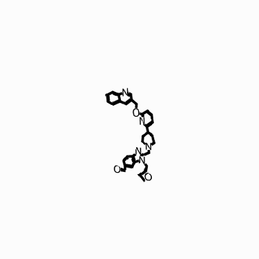 O=Cc1ccc2nc(CN3CCC(c4cccc(OCc5cnc6ccccc6c5)n4)CC3)n(CC3CCO3)c2c1